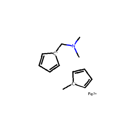 CN(C)C[c-]1cccc1.C[c-]1cccc1.[Fe+2]